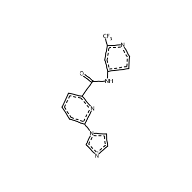 O=C(Nc1ccnc(C(F)(F)F)c1)c1cccc(-n2ccnc2)n1